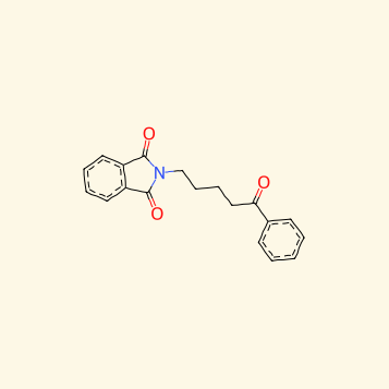 O=C(CCCCN1C(=O)c2ccccc2C1=O)c1ccccc1